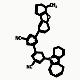 CC1CC=CC2=C1OC1CC=C(c3cc(C#N)cc(C4=CC(C#N)=CC(n5c6c(c7c5CCC=C7)CC=CC=C6)C4)c3)C=C21